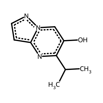 CC(C)c1nc2ccnn2cc1O